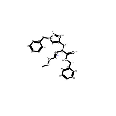 COO/C=N/[C@@H](Cc1cn(Cc2ccccc2)nn1)C(=O)OCc1ccccc1